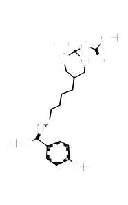 CC(=NOCCCCC1COC(C)(OC(=O)O)OC1)c1ccc(O)cc1